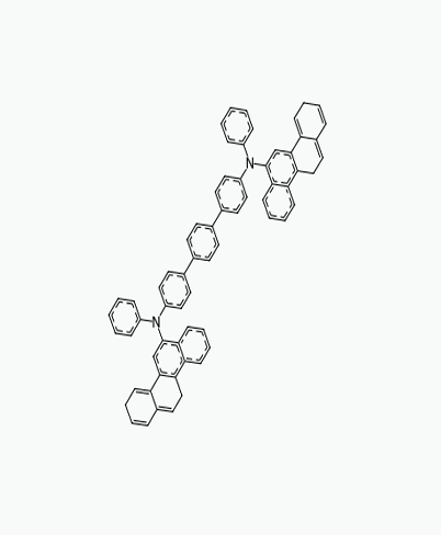 C1=CC2=CCc3c(cc(N(c4ccccc4)c4ccc(-c5ccc(-c6ccc(N(c7ccccc7)c7cc8c(c9ccccc79)CC=C7C=CCC=C78)cc6)cc5)cc4)c4ccccc34)C2=CC1